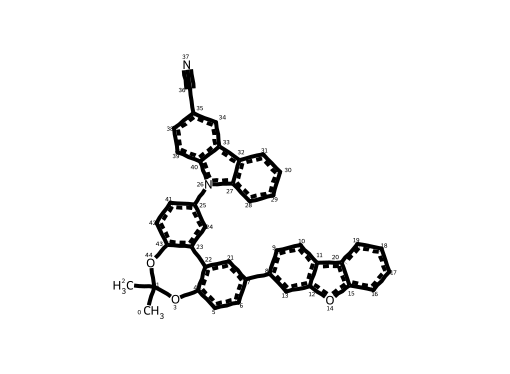 CC1(C)Oc2ccc(-c3ccc4c(c3)oc3ccccc34)cc2-c2cc(-n3c4ccccc4c4cc(C#N)ccc43)ccc2O1